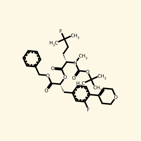 CN(C(=O)OC(C)(C)C)[C@@H](CCC(C)(C)F)C(=O)O[C@H](Cc1ccc(C2=CCOCC2)c(F)c1)C(=O)OCc1ccccc1